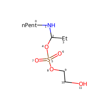 CCCCCNC(CC)OS(=O)(=O)OCCO